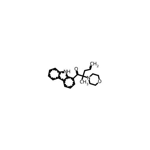 C=CCC(C)(C(=O)c1cccc2c1[nH]c1ccccc12)N1CCOCC1